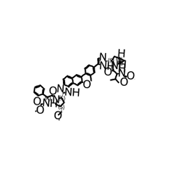 COC[C@H]1C[C@@H](c2nc3ccc4cc5c(cc4c3[nH]2)OCc2cc(-c3cnc([C@@H]4C[C@H]6C[C@H]6N4C(=O)C(NC(=O)OC)C(C)C)[nH]3)ccc2-5)N(C(=O)[C@H](NC(=O)OC)c2ccccc2)C1